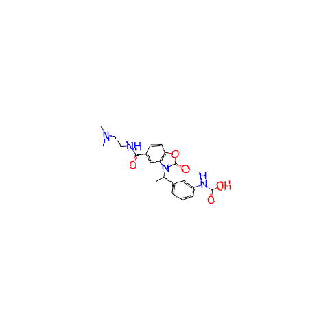 CC(c1cccc(NC(=O)O)c1)n1c(=O)oc2ccc(C(=O)NCCN(C)C)cc21